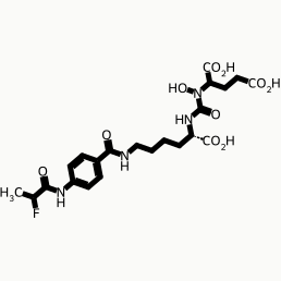 CC(F)C(=O)Nc1ccc(C(=O)NCCCC[C@H](NC(=O)N(O)C(CCC(=O)O)C(=O)O)C(=O)O)cc1